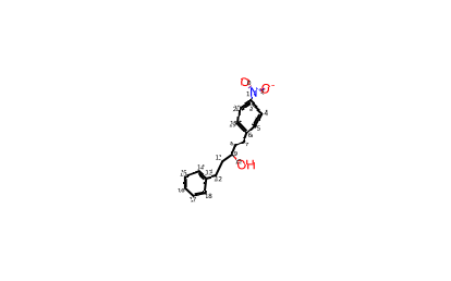 O=[N+]([O-])c1ccc(CCC(O)CCc2ccccc2)cc1